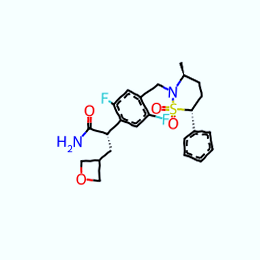 C[C@H]1CC[C@H](c2ccccc2)S(=O)(=O)N1Cc1cc(F)c([C@H](CC2COC2)C(N)=O)cc1F